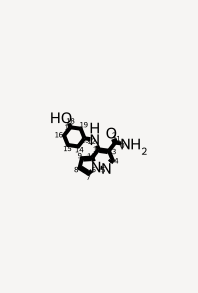 NC(=O)c1cnn2cccc2c1NC1CCCC(O)C1